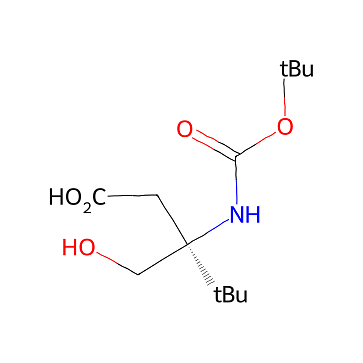 CC(C)(C)OC(=O)N[C@@](CO)(CC(=O)O)C(C)(C)C